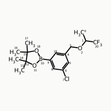 CC(OCc1cc(Cl)cc(B2OC(C)(C)C(C)(C)O2)c1)C(F)(F)F